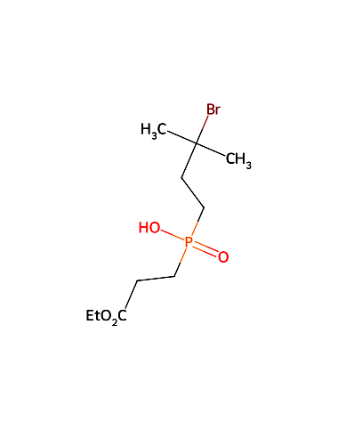 CCOC(=O)CCP(=O)(O)CCC(C)(C)Br